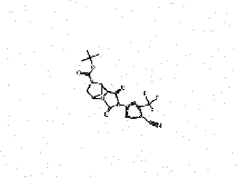 CC(C)(C)OC(=O)N1CC2CC1C1C(=O)N(c3ccc(C#N)c(C(F)(F)F)c3)C(=O)N21